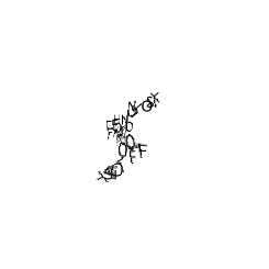 C[C@H]1[C@@H](c2ccc(F)c(F)c2OCCO[Si](C)(C)C(C)(C)C)[C@H](C(=O)Nc2ccc(CO[Si](C)(C)C(C)(C)C)nc2)O[C@@]1(C)C(F)(F)F